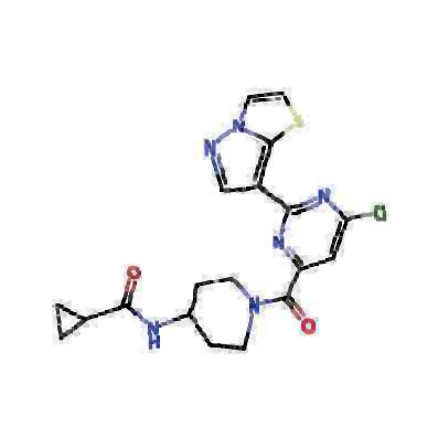 O=C(NC1CCN(C(=O)c2cc(Cl)nc(-c3cnn4ccsc34)n2)CC1)C1CC1